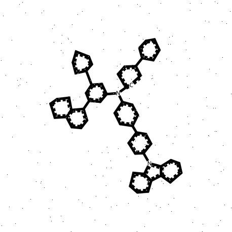 c1ccc(-c2ccc(N(c3ccc(-c4ccc(-n5c6ccccc6c6ccccc65)cc4)cc3)c3cc(-c4ccccc4)cc(-c4cccc5ccccc45)c3)cc2)cc1